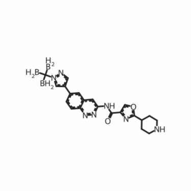 BC(B)(B)n1cc(-c2ccc3nnc(NC(=O)c4coc(C5CCNCC5)n4)cc3c2)cn1